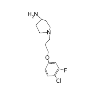 NC1CCN(CCCOc2ccc(Cl)c(F)c2)CC1